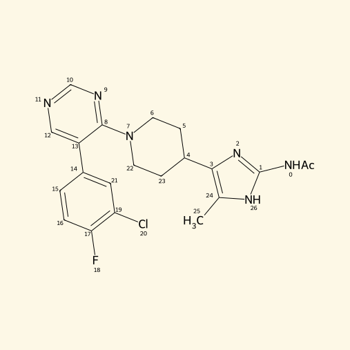 CC(=O)Nc1nc(C2CCN(c3ncncc3-c3ccc(F)c(Cl)c3)CC2)c(C)[nH]1